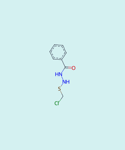 O=C(NNSCCl)c1ccccc1